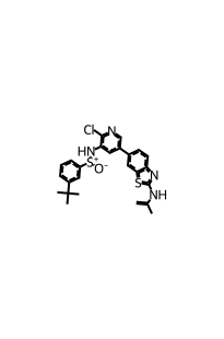 C=C(C)Nc1nc2ccc(-c3cnc(Cl)c(N[S+]([O-])c4cccc(C(C)(C)C)c4)c3)cc2s1